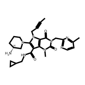 CC#CCn1c(N2CCC[C@@H](N)C2)c(C(=O)NCC2CC2)c2c1c(=O)n(Cc1nccc(C)n1)c(=O)n2C